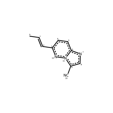 C/C=C/c1ccc2ncc(C#N)n2n1